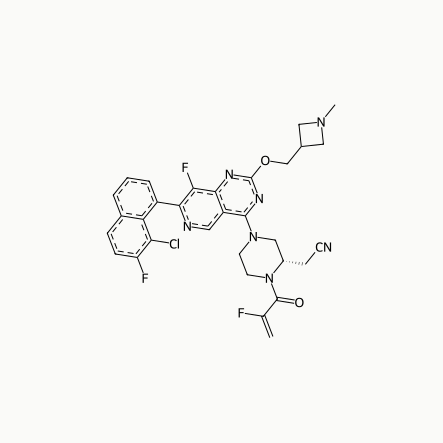 C=C(F)C(=O)N1CCN(c2nc(OCC3CN(C)C3)nc3c(F)c(-c4cccc5ccc(F)c(Cl)c45)ncc23)C[C@@H]1CC#N